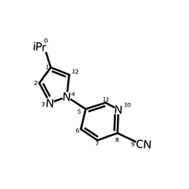 CC(C)c1cnn(-c2ccc(C#N)nc2)c1